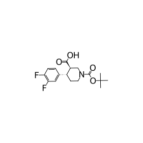 CC(C)(C)OC(=O)N1CC[C@H](c2ccc(F)c(F)c2)[C@@H](C(=O)O)C1